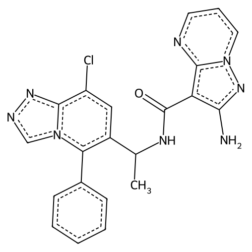 CC(NC(=O)c1c(N)nn2cccnc12)c1cc(Cl)c2nncn2c1-c1ccccc1